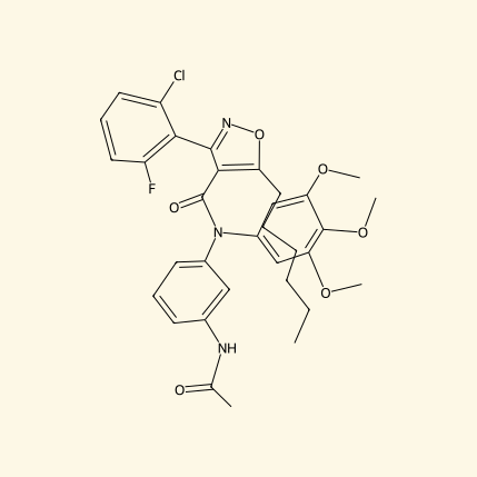 CCCCCCc1onc(-c2c(F)cccc2Cl)c1C(=O)N(c1cccc(NC(C)=O)c1)c1cc(OC)c(OC)c(OC)c1